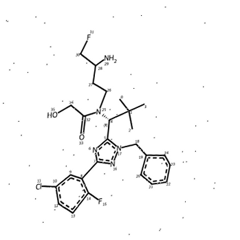 CC(C)(C)[C@H](c1nc(-c2cc(Cl)ccc2F)nn1Cc1ccccc1)N(CCC(N)CF)C(=O)CO